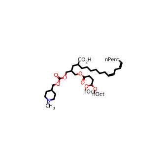 CCCCC/C=C\C/C=C\CCCCCCC(CC(COC(=O)CCC(OCCCCCCCC)OCCCCCCCC)COC(=O)OCC1CCN(C)CC1)C(=O)O